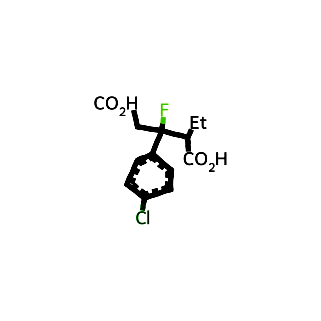 CCC(C(=O)O)C(F)(CC(=O)O)c1ccc(Cl)cc1